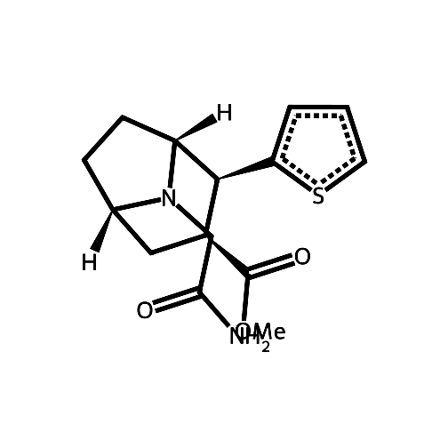 COC(=O)[C@H]1C[C@@H]2CC[C@H]([C@H]1c1cccs1)N2CC(N)=O